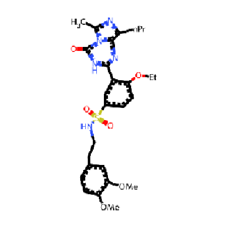 CCCc1nc(C)n2c(=O)[nH]c(-c3cc(S(=O)(=O)NCCc4ccc(OC)c(OC)c4)ccc3OCC)nc12